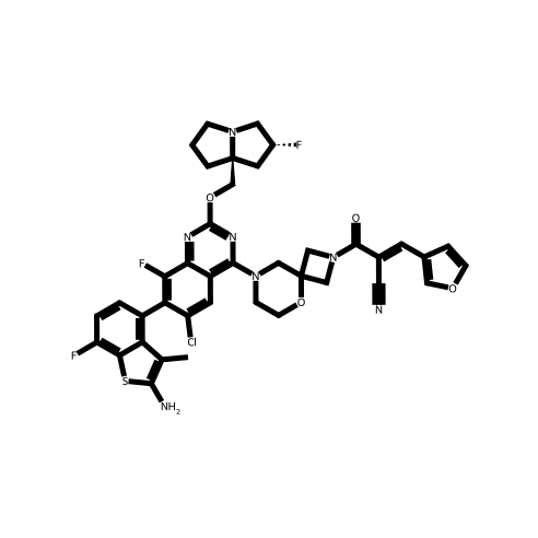 Cc1c(N)sc2c(F)ccc(-c3c(Cl)cc4c(N5CCOC6(CN(C(=O)/C(C#N)=C/c7ccoc7)C6)C5)nc(OC[C@@]56CCCN5C[C@H](F)C6)nc4c3F)c12